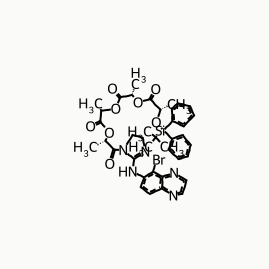 C[C@H](OC(=O)[C@H](C)O[Si](c1ccccc1)(c1ccccc1)C(C)(C)C)C(=O)O[C@@H](C)C(=O)O[C@@H](C)C(=O)N1CCN=C1Nc1ccc2nccnc2c1Br